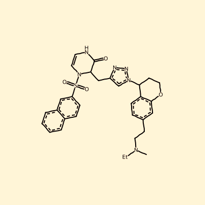 CCN(C)CCc1ccc2c(c1)OCCC2n1cc(CC2C(=O)NC=CN2S(=O)(=O)c2ccc3ccccc3c2)nn1